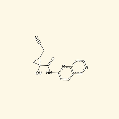 N#CCC1CC1(O)C(=O)Nc1ccc2cnccc2n1